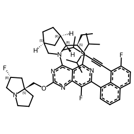 CC[C@H]1Cc2nc(-c3cccc4ccc(F)c(C#C[Si](C(C)C)(C(C)C)C(C)C)c34)c(F)c3nc(OC[C@@]45CCCN4C[C@H](F)C5)nc(c23)N2C[C@H]3CC[C@H](C3)[C@H]12